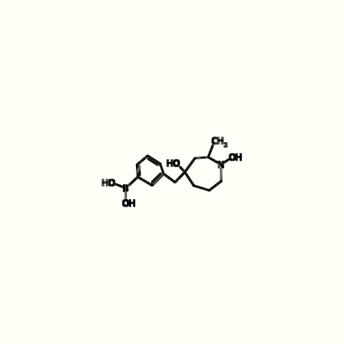 CC1CC(O)(Cc2cccc(B(O)O)c2)CCCN1O